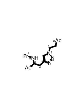 CC(=O)CCn1cc(CC(NC(C)C)C(C)=O)nn1